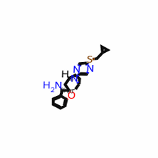 N[C@@H]1c2ccccc2O[C@@]12CC1CC[C@@H](C2)N1c1cnc(SCC2CC2)cn1